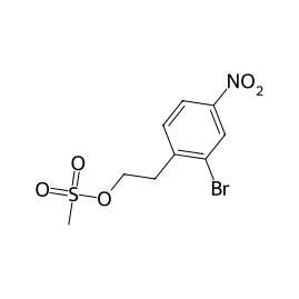 CS(=O)(=O)OCCc1ccc([N+](=O)[O-])cc1Br